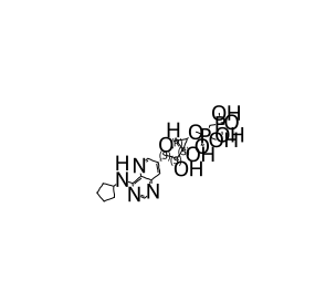 O=P(O)(O)CP(=O)(O)OC1[C@H]2O[C@@H](c3cnc4c(NC5CCCC5)ncnc4c3)[C@H](O)[C@@]12O